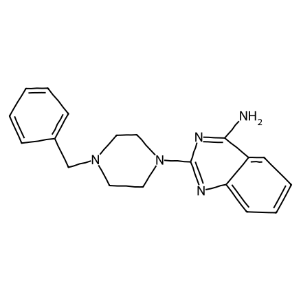 Nc1nc(N2CCN(Cc3ccccc3)CC2)nc2ccccc12